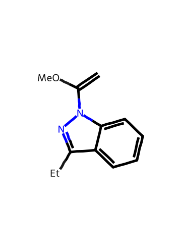 C=C(OC)n1nc(CC)c2ccccc21